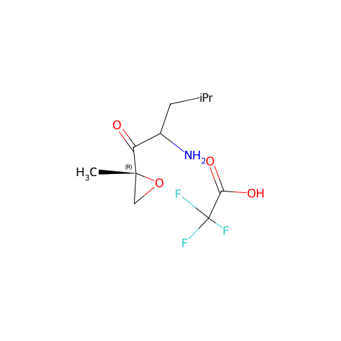 CC(C)CC(N)C(=O)[C@@]1(C)CO1.O=C(O)C(F)(F)F